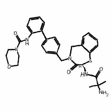 CC(C)(N)C(=O)N[C@@H]1Sc2ccccc2CN(Cc2ccc(-c3ccccc3NC(=O)N3CCOCC3)cc2)C1=O